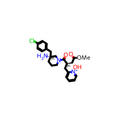 COC(=O)C[C@@H](Cc1cccc[n+]1O)C(=O)N1CCC[C@@](N)(Cc2ccc(Cl)cc2)C1